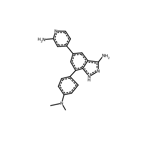 CN(C)c1ccc(-c2cc(-c3ccnc(N)c3)cc3c(N)n[nH]c23)cc1